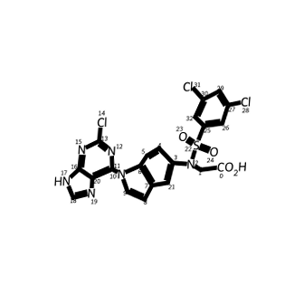 O=C(O)CN(c1ccc2c(ccn2-c2nc(Cl)nc3[nH]cnc23)c1)S(=O)(=O)c1cc(Cl)cc(Cl)c1